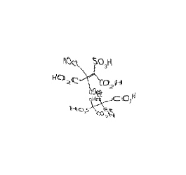 CCCCCCC(C(=O)O)(C(CC)(CC)C(=O)O)S(=O)(=O)O.CCCCCCCCC(CCCCCCCC)(C(=O)O)C(C(=O)O)S(=O)(=O)O